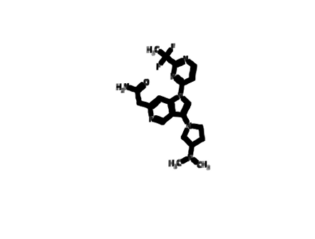 CN(C)C1CCN(c2cn(-c3ccnc(C(C)(F)F)n3)c3cc(CC(N)=O)ncc23)C1